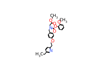 CCOC(=O)CN(Cc1ccc(OCCc2ccc(CC)cn2)cc1)C(=O)Oc1ccccc1OC